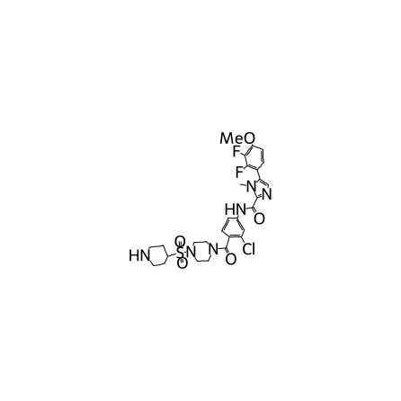 COc1ccc(-c2cnc(C(=O)Nc3ccc(C(=O)N4CCN(S(=O)(=O)C5CCNCC5)CC4)c(Cl)c3)n2C)c(F)c1F